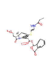 CCC(=O)NC=CSC1=C(C(=O)OC2OC(=O)c3ccccc32)N2C(=O)[C@@H](CCO)[C@H]2C1